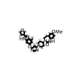 COc1ccc2c(c1)CCN(C1CCN(c3cc(Oc4cc(C)c5nc(C6CCOC6)[nH]c5c4)ncn3)CC1)C(=O)N2